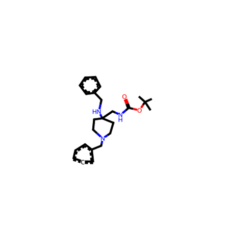 CC(C)(C)OC(=O)NCC1(NCc2ccccc2)CCN(Cc2ccccc2)CC1